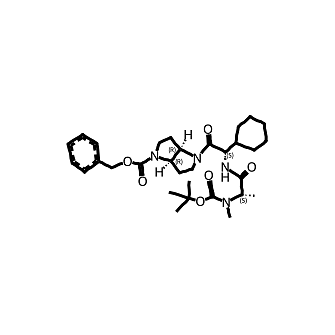 C[C@@H](C(=O)N[C@H](C(=O)N1CC[C@@H]2[C@H]1CCN2C(=O)OCc1ccccc1)C1CCCCC1)N(C)C(=O)OC(C)(C)C